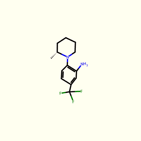 C[C@@H]1CCCCN1c1ccc(C(F)(F)F)cc1N